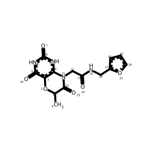 CC1Oc2c([nH]c(=O)[nH]c2=O)N(CC(=O)NCc2ccco2)C1=O